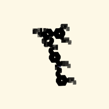 CC(C)Nc1ncc(-c2cc(N)cc(C(F)(F)F)c2)n(CC(=O)NCc2ccc(/C(N)=N/OCc3cccc(C(F)(F)F)c3)cc2)c1=O